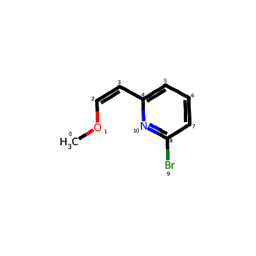 CO/C=C\c1cccc(Br)n1